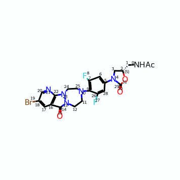 CC(=O)NC[C@H]1CN(c2cc(F)c(N3CCn4c(=O)c5cc(Br)cnc5n4CC3)c(F)c2)C(=O)O1